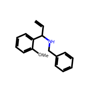 C=CC(NCc1ccccc1)c1ccccc1OC